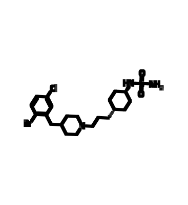 NS(=O)(=O)N[C@H]1CC[C@H](CCCN2CCC(Cc3cc(Cl)ccc3Br)CC2)CC1